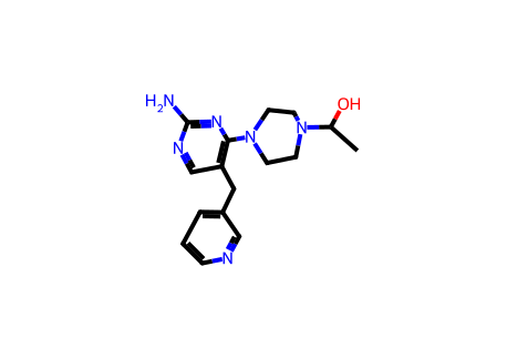 CC(O)N1CCN(c2nc(N)ncc2Cc2cccnc2)CC1